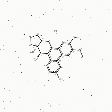 COc1cc2c3c(c4ncc(N)cc4c2cc1OC)[C@@H](O)[C@H]1CCCC1C3.Cl